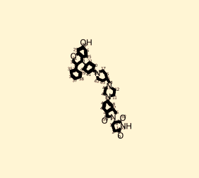 O=C1CC[C@H](N2Cc3cc(N4CCN(CC5CCN(c6ccc([C@@H]7c8ccc(O)cc8OCC7c7ccccc7)cc6)CC5)CC4)ccc3C2=O)C(=O)N1